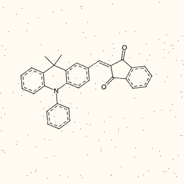 CC1(C)c2ccccc2N(c2ccccc2)c2ccc(C=C3C(=O)c4ccccc4C3=O)cc21